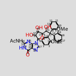 COc1ccccc1C(c1ccccc1)(c1ccccc1OC)C(O)[C@H]1O[C@@H](n2cnc3c(=O)[nH]c(NC(C)=O)nc32)[C@H](O)[C@@H]1O